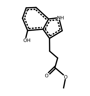 COC(=O)CCc1c[nH]c2cccc(O)c12